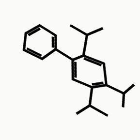 CC(C)c1cc(C(C)C)c(C(C)C)cc1-c1ccccc1